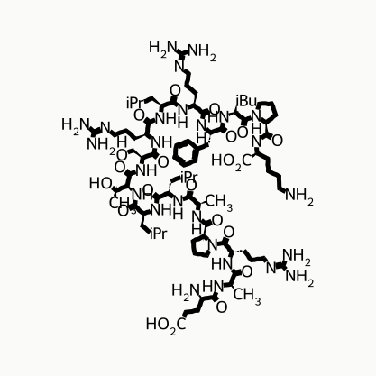 CC[C@H](C)[C@H](NC(=O)[C@H](Cc1ccccc1)NC(=O)[C@H](CCCN=C(N)N)NC(=O)[C@H](CC(C)C)NC(=O)[C@H](CCCN=C(N)N)NC(=O)[C@H](CO)NC(=O)[C@@H](NC(=O)[C@H](CC(C)C)NC(=O)[C@H](CC(C)C)NC(=O)[C@H](C)NC(=O)[C@@H]1CCCN1C(=O)[C@H](CCCN=C(N)N)NC(=O)[C@H](C)NC(=O)[C@@H](N)CCC(=O)O)[C@@H](C)O)C(=O)N1CCC[C@H]1C(=O)N[C@@H](CCCCN)C(=O)O